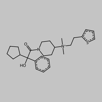 C[N+](C)(CCc1cccs1)C1CCN(C(=O)C(O)(c2ccccc2)C2CCCC2)CC1